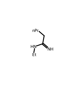 CCCCC(=N)NCC